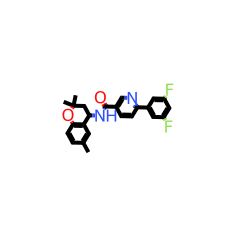 Cc1ccc2c(c1)C(NC(=O)c1ccc(-c3cc(F)cc(F)c3)nc1)CC(C)(C)O2